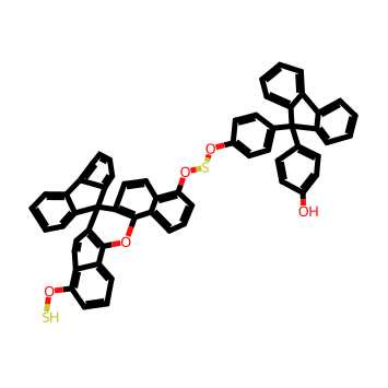 Oc1ccc(C2(c3ccc(OSOc4cccc5c6c(ccc45)C4(c5ccccc5-c5ccccc54)c4ccc5c(OS)cccc5c4O6)cc3)c3ccccc3-c3ccccc32)cc1